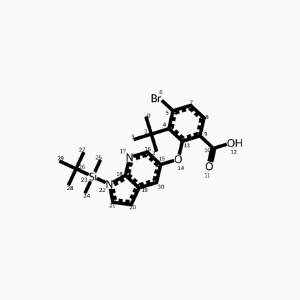 CC(C)(C)c1c(Br)ccc(C(=O)O)c1Oc1cnc2c(ccn2[Si](C)(C)C(C)(C)C)c1